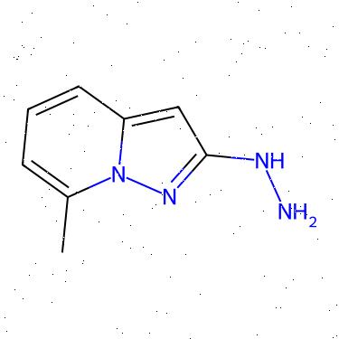 Cc1cccc2cc(NN)nn12